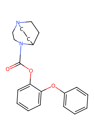 O=C(Oc1ccccc1Oc1ccccc1)N1CCN2CCC1CC2